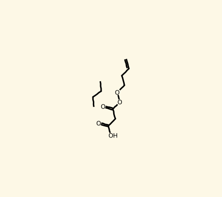 C=CCCOOC(=O)CC(=O)O.CCCC